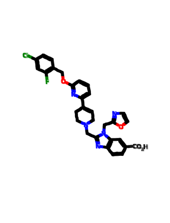 O=C(O)c1ccc2nc(CN3CC=C(c4cccc(OCc5ccc(Cl)cc5F)n4)CC3)n(Cc3ncco3)c2c1